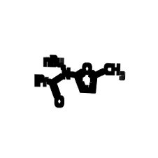 CCCCN(C(=O)C(C)C)c1ccc(C)o1